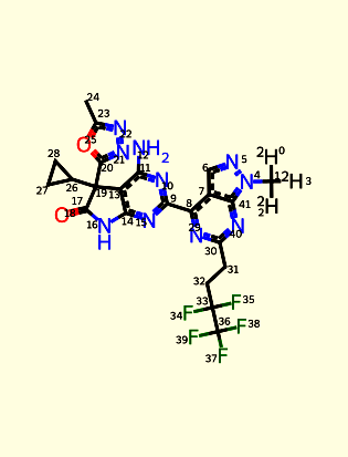 [2H]C([2H])([2H])n1ncc2c(-c3nc(N)c4c(n3)NC(=O)C4(c3nnc(C)o3)C3CC3)nc(CCC(F)(F)C(F)(F)F)nc21